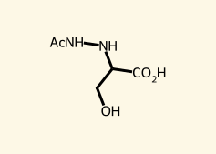 CC(=O)NNC(CO)C(=O)O